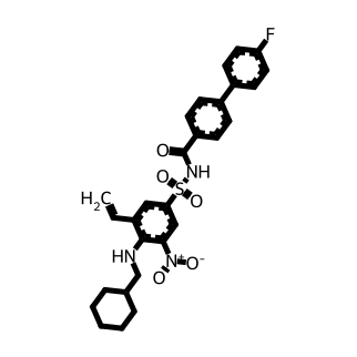 C=Cc1cc(S(=O)(=O)NC(=O)c2ccc(-c3ccc(F)cc3)cc2)cc([N+](=O)[O-])c1NCC1CCCCC1